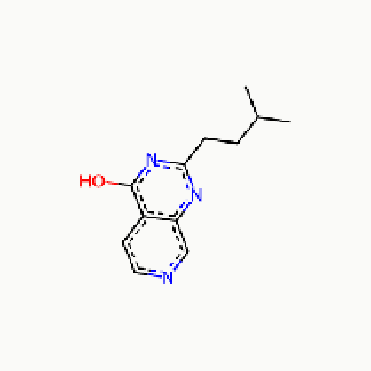 CC(C)CCc1nc(O)c2ccncc2n1